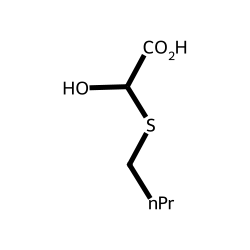 CCCCSC(O)C(=O)O